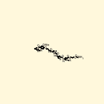 C=C1C[C@H]2C=Nc3cc(OCCCC(=O)Nc4cn(C)c(C(=O)Nc5cc(C(=O)Nc6cc(C(=O)NCCCOC(=O)CN)n(C)c6)n(C)c5)n4)c(OC)cc3C(=O)N2C1